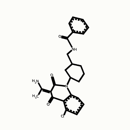 C/C(N)=C1\C(=O)c2c(Cl)cccc2N(C2CCCC(CNC(=O)c3ccccc3)C2)C1=O